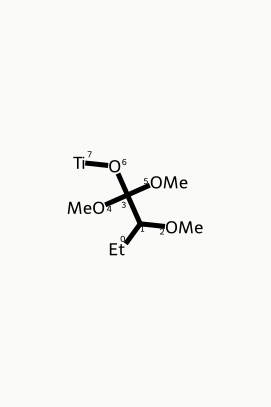 CCC(OC)C(OC)(OC)[O][Ti]